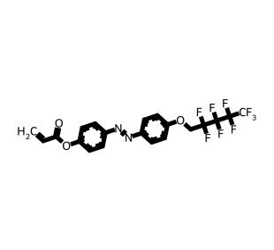 C=CC(=O)Oc1ccc(/N=N/c2ccc(OCC(F)(F)C(F)(F)C(F)(F)C(F)(F)F)cc2)cc1